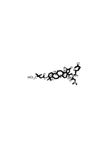 CC(C)C1=C2[C@H]3CC[C@@H]4[C@@]5(C)CC[C@H](OC(=O)CC(C)(C)C(=O)O)C(C)(C)[C@@H]5CC[C@@]4(C)[C@]3(C)CCC2(C(O)CN(C(=O)CN(C)C)[C@H](C)c2ccc(Cl)cn2)CC1=O